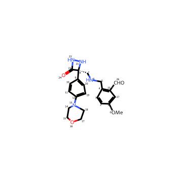 COc1ccc(CNC[C@@]2(c3ccc(N4CCOCC4)cc3)NNC2=O)c(C=O)c1